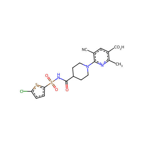 Cc1nc(N2CCC(C(=O)NS(=O)(=O)c3ccc(Cl)s3)CC2)c(C#N)cc1C(=O)O